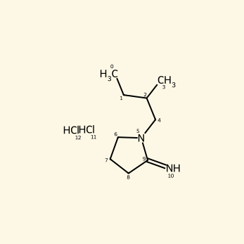 CCC(C)CN1CCCC1=N.Cl.Cl